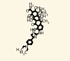 CCN(CC)c1ccc(-c2c[nH]c(Nc3ccc4c(c3O)C(=O)C3=C(O)[C@]5(O)C(=O)C(C(N)=O)=C(O)[C@@H](N(C)C)[C@@H]5[C@@H](O)[C@@H]3[C@H]4C)n2)cc1